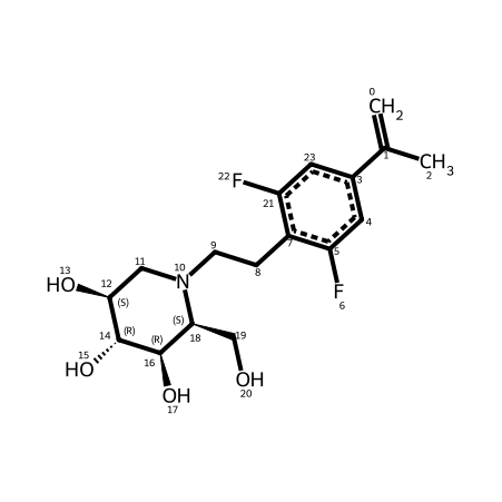 C=C(C)c1cc(F)c(CCN2C[C@H](O)[C@@H](O)[C@H](O)[C@@H]2CO)c(F)c1